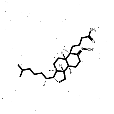 CC(C)CCC[C@@H](C)[C@H]1CC[C@H]2[C@@H]3CCC(=NO)[C@](C)(CCCC(N)=O)[C@H]3CC[C@]12C